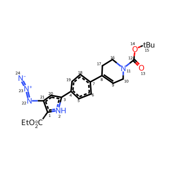 CCOC(=O)c1[nH]c(-c2ccc(C3=CCN(C(=O)OC(C)(C)C)CC3)cc2)cc1N=[N+]=[N-]